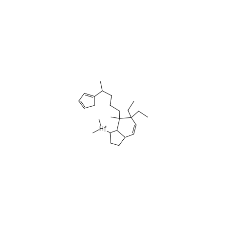 CCC1(CC)C=CC2CC[CH]([Hf]([CH3])[CH3])C2C1(C)CCCC(C)C1=CC=CC1